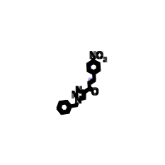 O=C(/C=C/c1ccc([N+](=O)[O-])cc1)c1cn(Cc2ccccc2)nn1